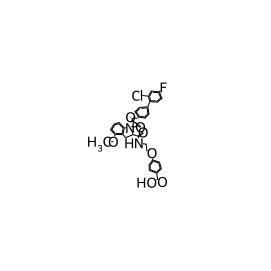 COc1cccc2c1CC(C(=O)NCCOc1ccc(C(=O)O)cc1)N2S(=O)(=O)c1ccc(-c2ccc(F)cc2Cl)cc1